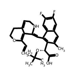 C=CC1=C2C(=CCN/C2=C\c2c([C@@H](OC(C)(C)C)C(=O)O)c(C)cc3cc(F)c(F)cc23)CCO1